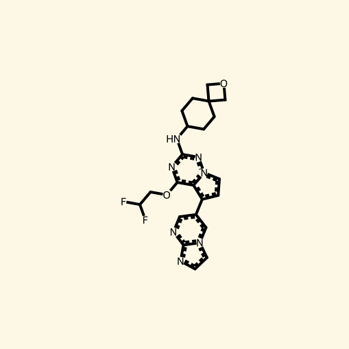 FC(F)COc1nc(NC2CCC3(CC2)COC3)nn2ccc(-c3cnc4nccn4c3)c12